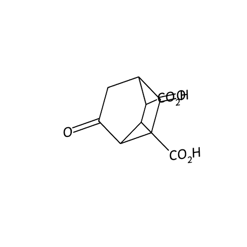 O=C1CC2C(=O)CC1C(C(=O)O)C2C(=O)O